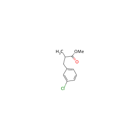 COC(=O)C(C)Cc1cccc(Cl)c1